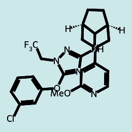 COc1cc(N2C[C@H]3CC[C@@H](C2)C3Nc2nc(Oc3cccc(Cl)c3)n(CC(F)(F)F)n2)ccn1